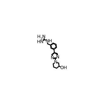 N=C(N)NCc1cccc(-c2cnc(N3CCCC(O)C3)nc2)c1